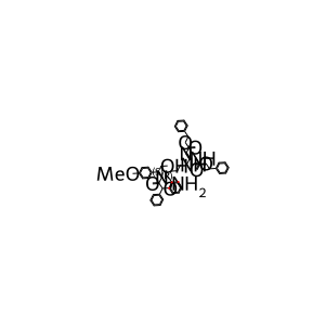 COc1ccc([C@@H](CO)N(C(=O)C(c2ccccc2)c2ccccc2)[C@H](CCCNC(=NC(=O)OCc2ccccc2)NC(=O)OCc2ccccc2)C(N)=O)cc1